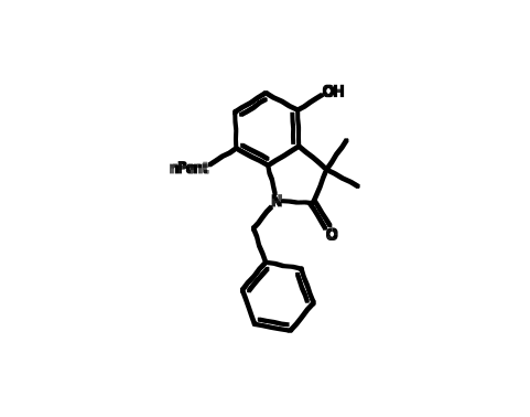 CCCCCc1ccc(O)c2c1N(Cc1ccccc1)C(=O)C2(C)C